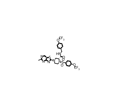 Cc1ncc2sc(N3CCN(S(=O)(=O)c4ccc(OC(F)(F)F)cc4)[C@@H](C(=O)NCc4ccc(OC(F)(F)F)cc4)C3)nc2n1